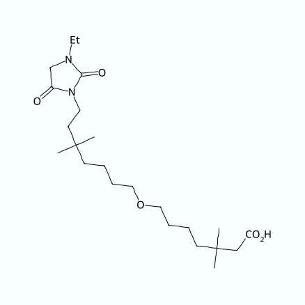 CCN1CC(=O)N(CCC(C)(C)CCCCOCCCCC(C)(C)CC(=O)O)C1=O